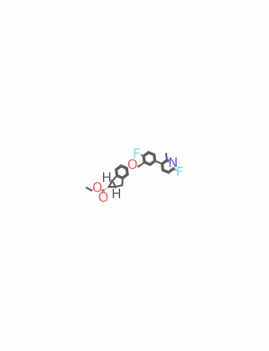 CCOC(=O)[C@H]1[C@@H]2Cc3cc(OCc4cc(-c5ccc(F)nc5C)ccc4F)ccc3[C@@H]21